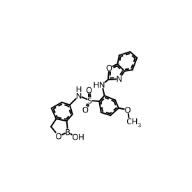 COc1ccc(S(=O)(=O)Nc2ccc3c(c2)B(O)OC3)c(Nc2nc3ccccc3o2)c1